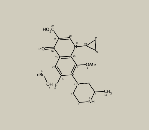 CCCCO.COc1c(N2CCNC(C)C2)c(F)cc2c(=O)c(C(=O)O)cn(C3CC3)c12